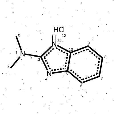 CN(C)c1nc2ccccc2[nH]1.Cl